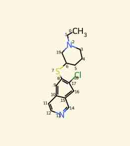 CCN1CCCC(Sc2cc3ccncc3cc2Cl)C1